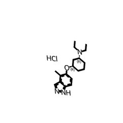 CCN(CC)[C@@H]1CCC[C@@H](Oc2ccc3[nH]ncc3c2C)C1.Cl